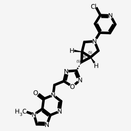 Cn1cnc2ncn(Cc3nc([C@@H]4[C@@H]5CN(c6ccnc(Cl)c6)C[C@@H]54)no3)c(=O)c21